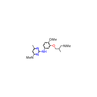 CNCC(C)COc1cc(Nc2nc(C)cc(NC)n2)ccc1OC